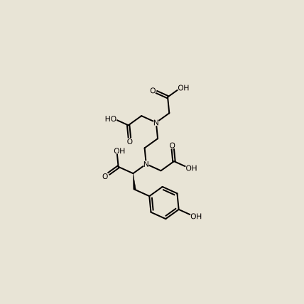 O=C(O)CN(CCN(CC(=O)O)[C@@H](Cc1ccc(O)cc1)C(=O)O)CC(=O)O